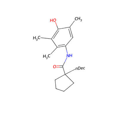 CCCCCCCCCCC1(C(=O)Nc2cc(C)c(O)c(C)c2C)CCCC1